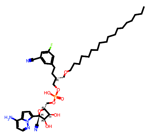 CCCCCCCCCCCCCCCCCCOC[C@@H](CCc1cc(F)cc(C#N)c1)COP(=O)(O)OC[C@H]1O[C@@](C#N)(c2ccc3c(N)ccnn23)[C@H](O)[C@@H]1O